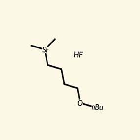 CCCCOCCCC[Si](C)C.F